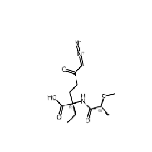 CC[C@@](CCC(=O)C=[N+]=[N-])(NC(=O)[C@H](C)OC)C(=O)O